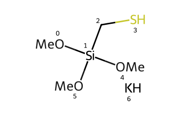 CO[Si](CS)(OC)OC.[KH]